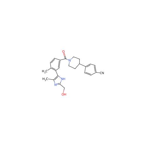 Cc1ccc(C(=O)N2CCC(c3ccc(C#N)cc3)CC2)cc1-c1[nH]c(CO)nc1C